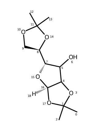 CC1(C)OC2C(O)[C@@H]([C@H]3COC(C)(C)O3)O[C@@H]2O1